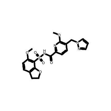 COc1ccc2c(c1S(=O)(=O)NC(=O)c1ccc(Cn3cccn3)c(OC)n1)OCC2